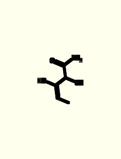 C/C=C(/O)C(O)C(N)=O